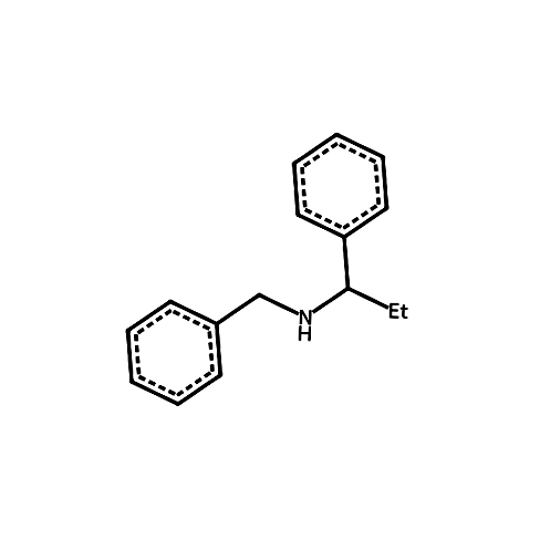 CCC(NCc1ccccc1)c1ccccc1